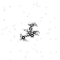 CCOC(=O)c1c(CCCOc2cc(C)c(Cl)c(C)c2)c2cccc(-c3c(C)nn(C)c3C)c2n1CCN1CCN(C(=O)OC(C)(C)C)CC1